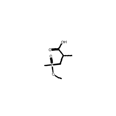 COP(C)(=O)CC(C)C(=O)O